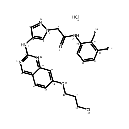 Cl.O=C(Cn1cc(Nc2ncc3ccc(OCCCCl)cc3n2)cn1)Nc1cccc(F)c1F